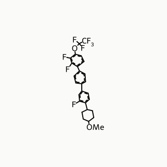 COC1CCC(c2ccc(-c3ccc(-c4ccc(OC(F)(F)C(F)(F)F)c(F)c4F)cc3)cc2F)CC1